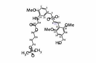 COc1ccc(CS(=O)(=O)/C=C/c2c(OC)cc(CO)cc2OC)cc1NCC(=O)OCCCCOP(C)(C)=O